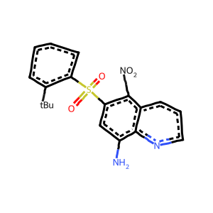 CC(C)(C)c1ccccc1S(=O)(=O)c1cc(N)c2ncccc2c1[N+](=O)[O-]